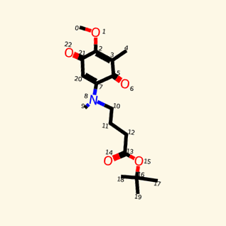 COC1=C(C)C(=O)C(N(C)CCCC(=O)OC(C)(C)C)=CC1=O